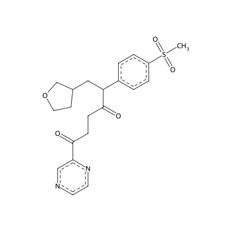 CS(=O)(=O)c1ccc(C(CC2CCOC2)C(=O)CCC(=O)c2cnccn2)cc1